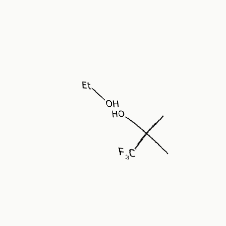 CC(C)(O)C(F)(F)F.CCO